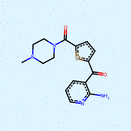 CN1CCN(C(=O)c2ccc(C(=O)c3cccnc3N)s2)CC1